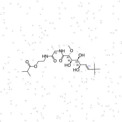 CO[C@@H](C(=O)N[C@@H](C)C(=O)NCCOC(=O)C(C)C)[C@H](O)[C@@H](O)[C@H](O)/C=C/C(C)(C)C